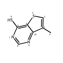 Cc1csc2c(S)ncnc12